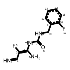 N=C/C(F)=C(\N)NC(=O)NCc1ccccc1F